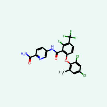 Cc1cc(Cl)cc(Cl)c1Oc1ccc(C(F)(F)F)c(F)c1C(=O)Nc1ccc(C(N)=O)nc1